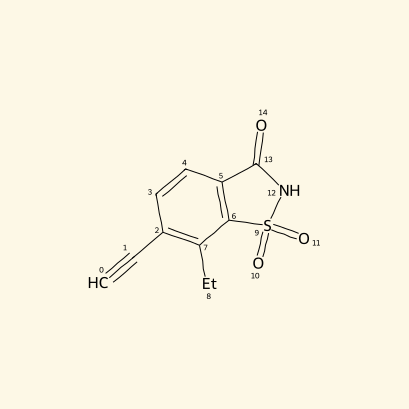 C#Cc1ccc2c(c1CC)S(=O)(=O)NC2=O